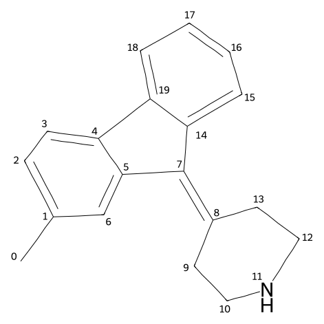 Cc1ccc2c(c1)C(=C1CCNCC1)c1ccccc1-2